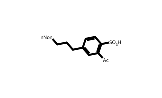 CCCCCCCCCCCCc1ccc(S(=O)(=O)O)c(C(C)=O)c1